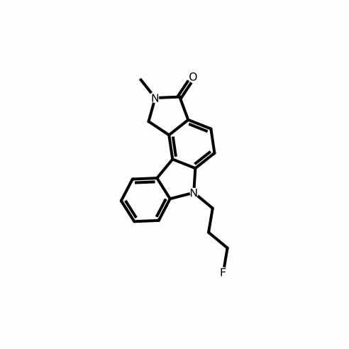 CN1Cc2c(ccc3c2c2ccccc2n3CCCF)C1=O